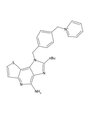 CCCCc1nc2c(N)nc3ccsc3c2n1Cc1ccc(C[n+]2ccccc2)cc1